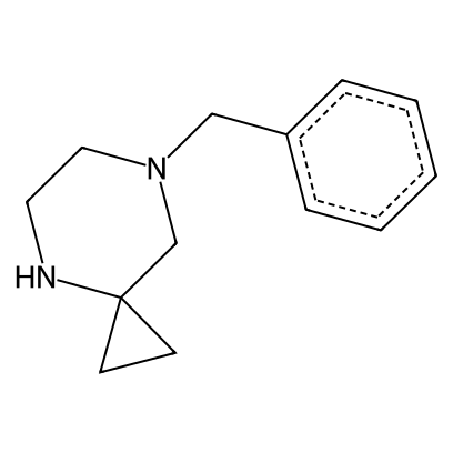 c1ccc(CN2CCNC3(CC3)C2)cc1